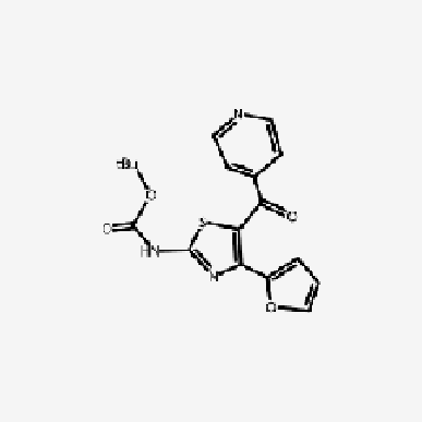 CC(C)(C)OC(=O)Nc1nc(-c2ccco2)c(C(=O)c2ccncc2)s1